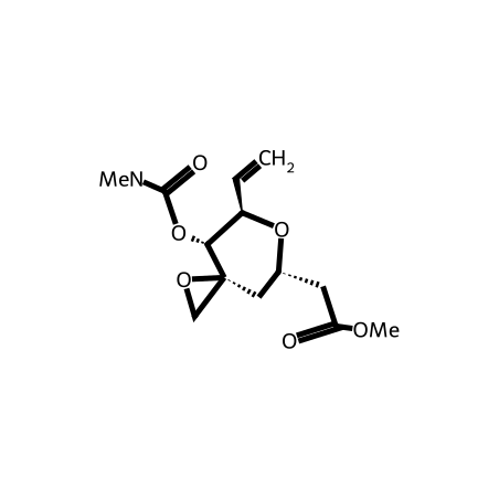 C=C[C@H]1O[C@H](CC(=O)OC)C[C@@]2(CO2)[C@@H]1OC(=O)NC